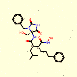 CC(C)C[C@@H](C(=O)N[C@]1(CO)C(=O)NC(=O)N1Cc1ccccc1)[C@H](CCCc1ccccc1)C(=O)NO